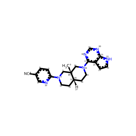 C[C@]12CN(c3ccc(C#N)cn3)CC[C@H]1CCN(c1ncnc3[nH]ccc13)C2